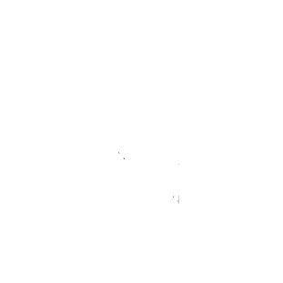 C=CCN(C)CC(C)=N